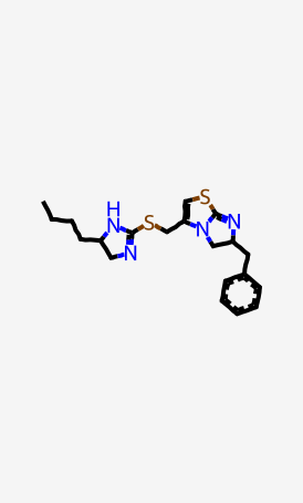 CCCCC1CN=C(SCC2=CSC3=NC(Cc4ccccc4)CN23)N1